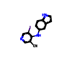 N#Cc1cncc(I)c1Nc1ccc2[nH]ccc2c1